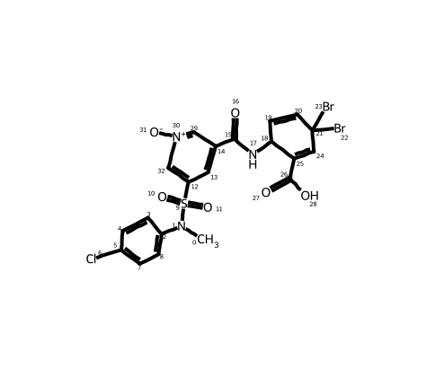 CN(c1ccc(Cl)cc1)S(=O)(=O)c1cc(C(=O)NC2C=CC(Br)(Br)C=C2C(=O)O)c[n+]([O-])c1